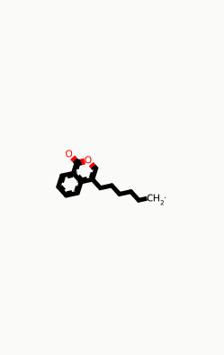 [CH2]CCCCCc1coc(=O)c2ccccc12